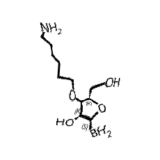 B[C@@H]1O[C@H](CO)C(OCCCCCCN)[C@@H]1O